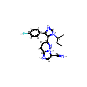 CCC(C)n1cnc(-c2ccc(F)cc2)c1-c1ccc2ncc(C#N)n2n1